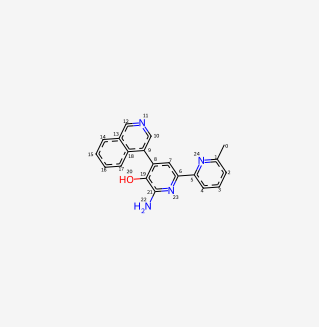 Cc1cccc(-c2cc(-c3cncc4ccccc34)c(O)c(N)n2)n1